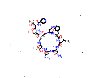 CC(C)C[C@@H]1NC(=O)[C@@H](Cc2ccccc2)NC(=O)[C@H](CCN)NC(=O)[C@@H](NC(=O)[C@@H](CO)NC(=O)[C@@H](NC(=O)c2ccncc2)[C@@H](C)O)CCNC(=O)[C@H]([C@@H](C)O)NC(=O)[C@H](CCN)NC(=O)[C@H](CCN)NC1=O